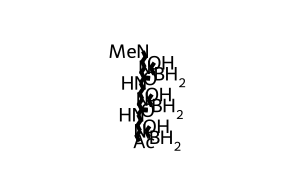 BCC(O)N(CCNC(=O)CN(CCNC(=O)CN(CCNC)C(O)CB)C(O)CB)CC(C)=O